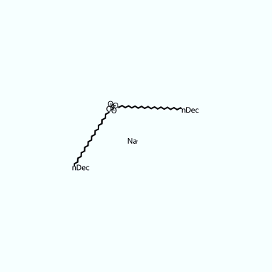 CCCCCCCCCCCCCCCCCCCCCCCCCCCCCCOS(=O)(=O)OCCCCCCCCCCCCCCCCCCCCCCCCCCCCCC.[Na]